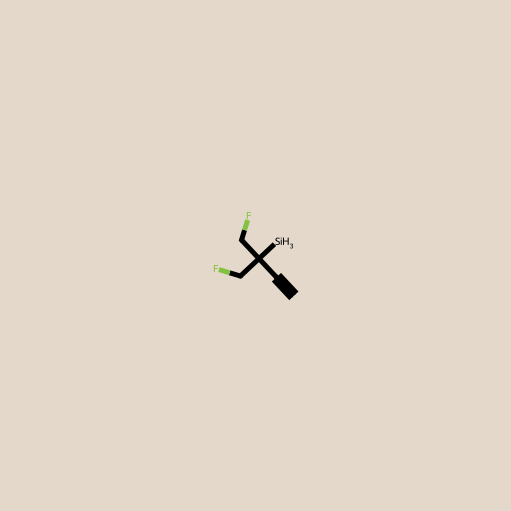 C#CC([SiH3])(CF)CF